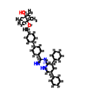 CC(C)(O)C(C)(C)OBc1ccc(-c2ccc(C(=N)/N=c3\[nH]cc(-c4ccccc4)cc3-c3ccccc3)cc2)cc1